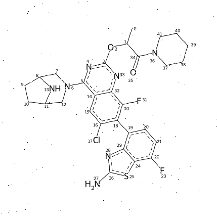 CC(Oc1nc(N2CC3CCC(C2)N3)c2cc(Cl)c(-c3ccc(F)c4sc(N)nc34)c(F)c2n1)C(=O)N1CCCCC1